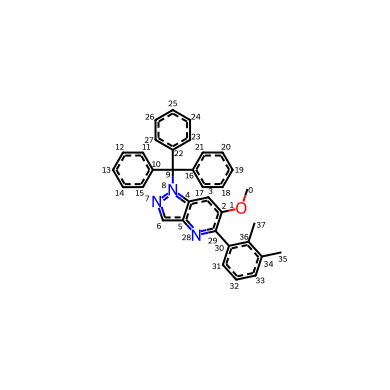 COc1cc2c(cnn2C(c2ccccc2)(c2ccccc2)c2ccccc2)nc1-c1cccc(C)c1C